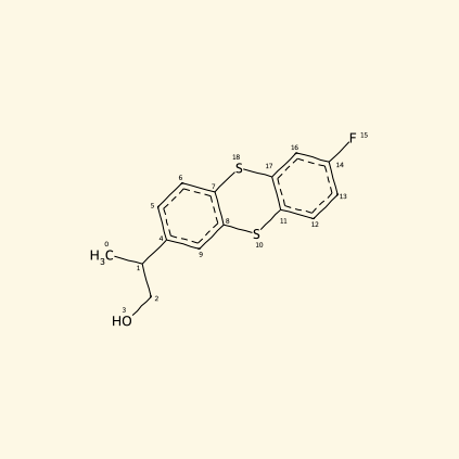 CC(CO)c1ccc2c(c1)Sc1ccc(F)cc1S2